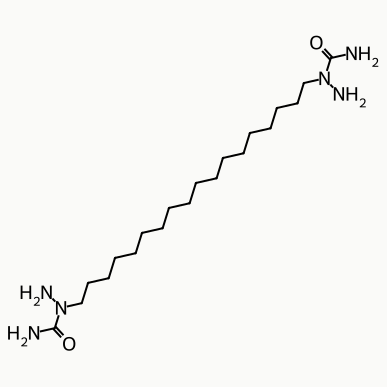 NC(=O)N(N)CCCCCCCCCCCCCCCCCCN(N)C(N)=O